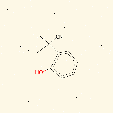 CC(C)(C#N)c1ccccc1O